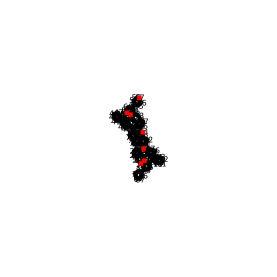 c1ccc(-c2ccc(-n3c4ccccc4c4ccc(N(c5cccc6c5CCCC6)c5ccc6ccc7c(N(c8ccc9c%10ccccc%10n(-c%10ccc(-c%11ccccc%11)cc%10)c9c8)c8cccc9c8CCCC9)ccc8ccc5c6c87)cc43)cc2)cc1